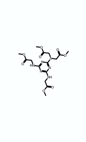 COC(=O)CNc1nc(NCC(=O)OC)nc(N(CC(=O)OC)CC(=O)OC)n1